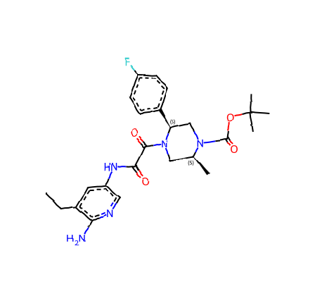 CCc1cc(NC(=O)C(=O)N2C[C@H](C)N(C(=O)OC(C)(C)C)C[C@@H]2c2ccc(F)cc2)cnc1N